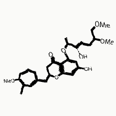 COCC(CC[C@H](O)C(C)Oc1cc(O)cc2c1C(=O)CC(CC1=CC(C)=C(OC)C=CC1)O2)OC